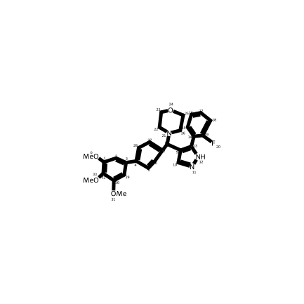 COc1cc(-c2ccc(C(c3cn[nH]c3-c3ccccc3F)N3CCOCC3)cc2)cc(OC)c1OC